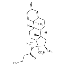 C[C@@H]1C[C@H]2[C@@H]3CCC4=CC(=O)C=C[C@]4(C)[C@H]3CC[C@]2(C)[C@@]1(OC(=O)CCO)C(=O)O